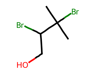 CC(C)(Br)C(Br)CO